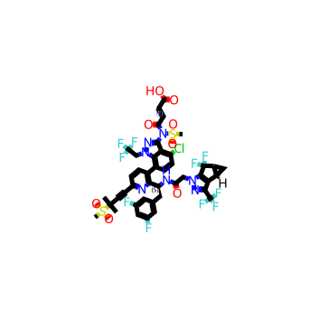 CC(C)(C#Cc1ccc(-c2ccc(Cl)c3c(N(C(=O)/C=C/C(=O)O)S(C)(=O)=O)nn(CC(F)(F)F)c23)c([C@H](Cc2cc(F)cc(F)c2)NC(=O)Cn2nc(C(F)(F)F)c3c2C(F)(F)C2C[C@H]32)n1)S(C)(=O)=O